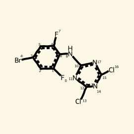 Fc1cc(Br)cc(F)c1Nc1nc(Cl)nc(Cl)n1